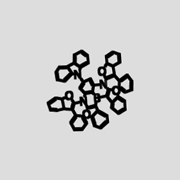 C1=CC2OC(N3c4cc(-n5c6ccccc6c6ccccc65)cc5c4B(c4c3oc3ccccc43)c3c(oc4ccccc34)N5C3=C(c4ccccc4)C4C=CC=CC4O3)=C(c3ccccc3)C2C=C1